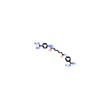 N=C(N)c1ccc(NC(=O)CCCCCC(=O)Nc2ccc(C(=N)N)cc2)cc1